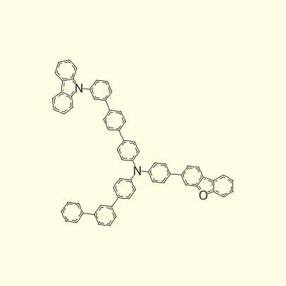 c1ccc(-c2cccc(-c3ccc(N(c4ccc(-c5ccc(-c6cccc(-n7c8ccccc8c8ccccc87)c6)cc5)cc4)c4ccc(-c5ccc6c(c5)oc5ccccc56)cc4)cc3)c2)cc1